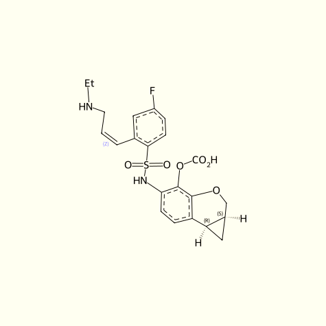 CCNC/C=C\c1cc(F)ccc1S(=O)(=O)Nc1ccc2c(c1OC(=O)O)OC[C@H]1C[C@@H]21